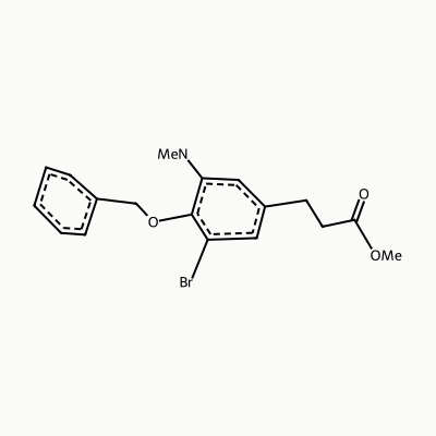 CNc1cc(CCC(=O)OC)cc(Br)c1OCc1ccccc1